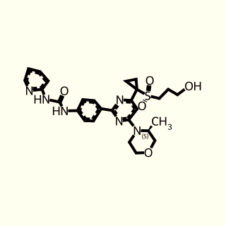 C[C@H]1COCCN1c1cc(C2(S(=O)(=O)CCCO)CC2)nc(-c2ccc(NC(=O)Nc3ccccn3)cc2)n1